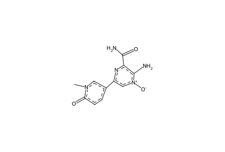 Cn1cc(-c2c[n+]([O-])c(N)c(C(N)=O)n2)ccc1=O